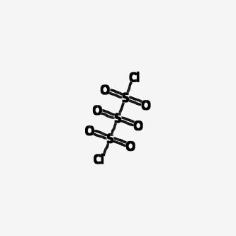 O=S(=O)(Cl)S(=O)(=O)S(=O)(=O)Cl